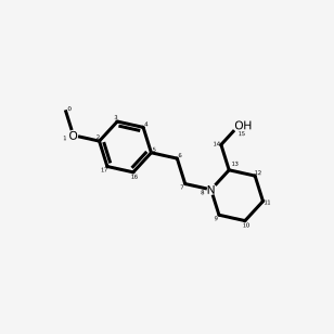 COc1ccc(CCN2CCCCC2CO)cc1